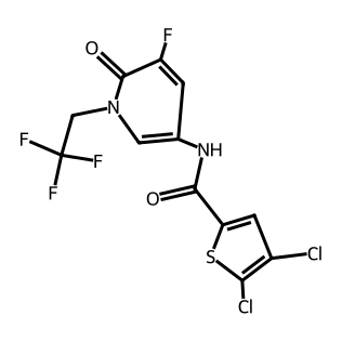 O=C(Nc1cc(F)c(=O)n(CC(F)(F)F)c1)c1cc(Cl)c(Cl)s1